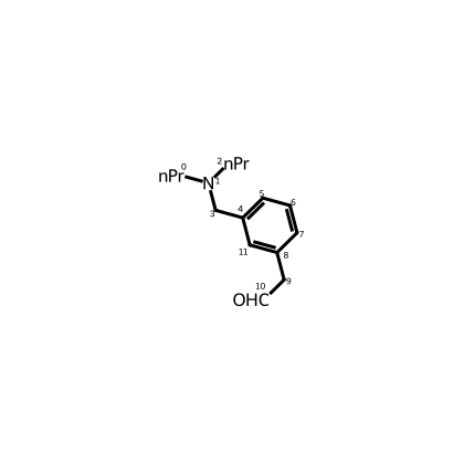 CCCN(CCC)Cc1cccc(CC=O)c1